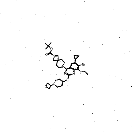 CCOc1c(Br)c(C2CC2)cc2c(N3CCC4(CC3)CN(C(=O)OC(C)(C)C)C4)nc(OC3CCN(C4COC4)CC3)nc12